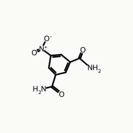 NC(=O)c1cc(C(N)=O)cc([N+](=O)[O-])c1